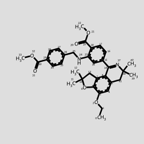 CCOc1cc2c(c3c1OC(C)(C)C3)C(c1ccc(C(=O)OC)c(NCc3ccc(C(=O)OC)cc3)c1)=NC(C)(C)C2